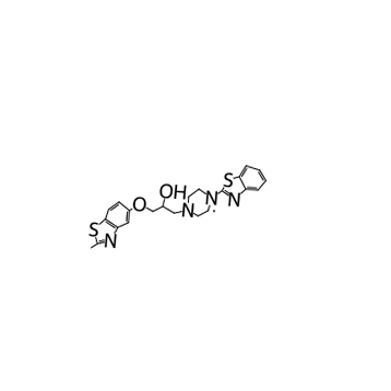 Cc1nc2cc(OCC(O)CN3C[CH]N(c4nc5ccccc5s4)CC3)ccc2s1